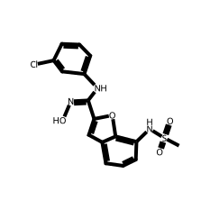 CS(=O)(=O)Nc1cccc2cc(/C(=N\O)Nc3cccc(Cl)c3)oc12